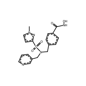 Cn1ccc(S(=O)(=O)N(Cc2ccc(C(=O)NO)cc2)Cc2cccnc2)n1